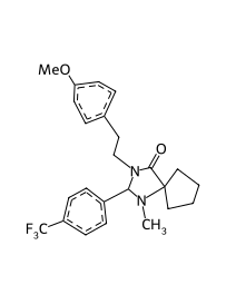 COc1ccc(CCN2C(=O)C3(CCCC3)N(C)C2c2ccc(C(F)(F)F)cc2)cc1